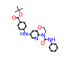 CC(C)(C)OC(=O)c1ccc(Nc2cnc3c(c2)OCCN3C(=O)Nc2ccccc2)cc1